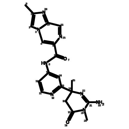 Cc1cn2cc(C(=O)Nc3ccnc(C4(C)CC(=O)N(C)C(N)=N4)c3)ncc2n1